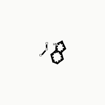 ClOCl.c1ccc2[nH]ccc2c1